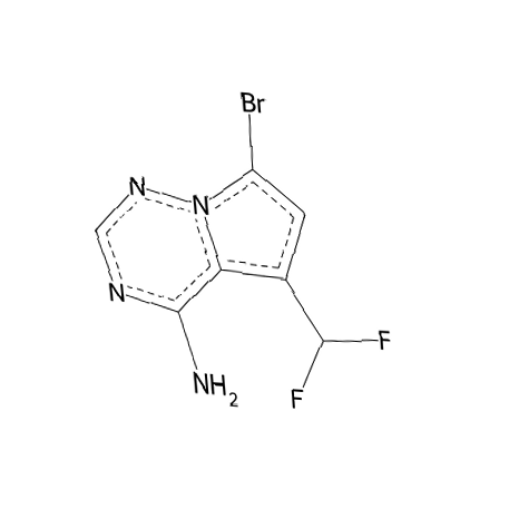 Nc1ncnn2c(Br)cc(C(F)F)c12